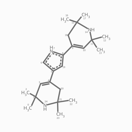 CC1(C)C=C(c2c[nH]c(C3=CC(C)(C)NC(C)(C)C3)c2)CC(C)(C)N1